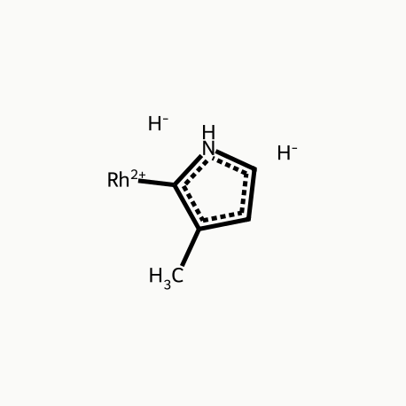 Cc1cc[nH][c]1[Rh+2].[H-].[H-]